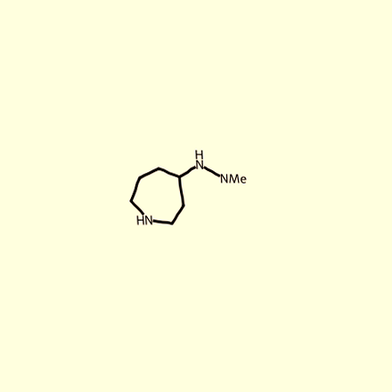 CNNC1CCCNCC1